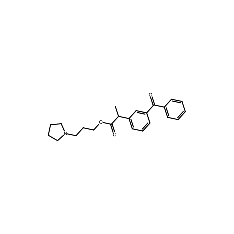 CC(C(=O)OCCCN1CCCC1)c1cccc(C(=O)c2ccccc2)c1